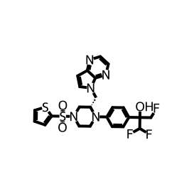 O=S(=O)(c1cccs1)N1CCN(c2ccc(C(O)(CF)C(F)F)cc2)[C@@H](Cn2ccc3nccnc32)C1